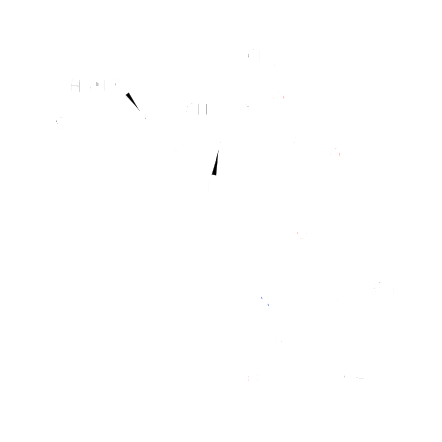 CC1=C(C)C(OC=C2C(=O)O[C@]3(C)CC[C@@]4(C)C(C)(C)CCC[C@]4(C)[C@@H]23)N(c2ccccc2)C1=O